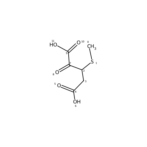 CSC(CC(=O)O)C(=O)C(=O)O